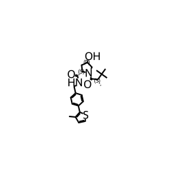 Cc1ccsc1-c1ccc(CNC(=O)[C@@H]2C[C@@H](O)CN2C(=O)[C@@H](C)C(C)(C)C)cc1